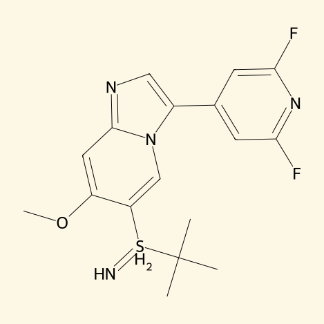 COc1cc2ncc(-c3cc(F)nc(F)c3)n2cc1[SH2](=N)C(C)(C)C